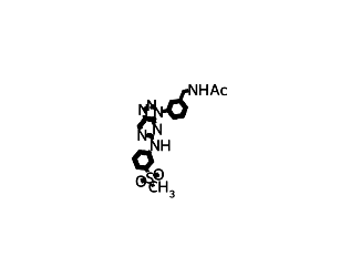 CC(=O)NCc1cccc(-n2nnc3cnc(Nc4cccc(S(C)(=O)=O)c4)nc32)c1